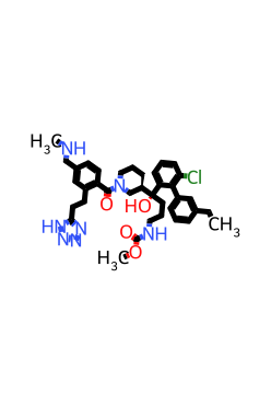 CCc1cccc(-c2c(Cl)cccc2[C@](O)(CCCNC(=O)OC)[C@@H]2CCCN(C(=O)c3ccc(CNC)cc3CCc3nnn[nH]3)C2)c1